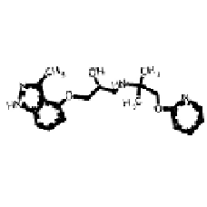 Cc1n[nH]c2cccc(OC[C@@H](O)CNC(C)(C)COc3ccccn3)c12